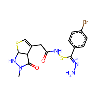 CN1NC2SC=C(CC(=O)NS/C(=N\N)c3ccc(Br)cc3)C2C1=O